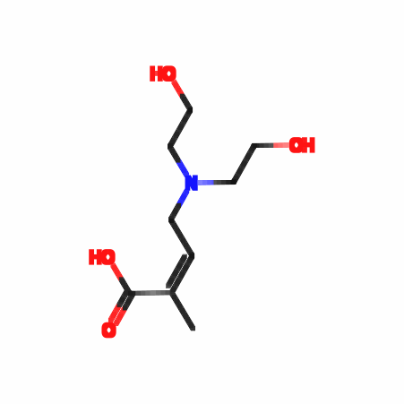 CC(=CCN(CCO)CCO)C(=O)O